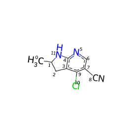 CC1Cc2c(ncc(C#N)c2Cl)N1